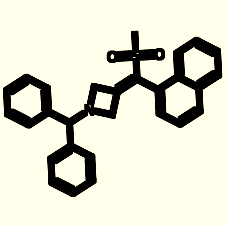 CS(=O)(=O)C(=C1CN(C(c2ccccc2)c2ccccc2)C1)c1cccc2ccccc12